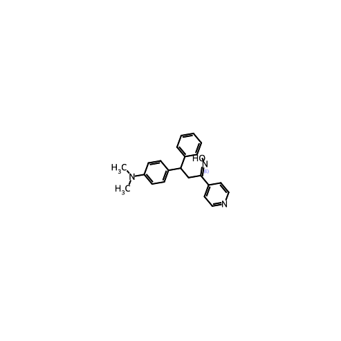 CN(C)c1ccc(C(C/C(=N\O)c2ccncc2)c2ccccc2)cc1